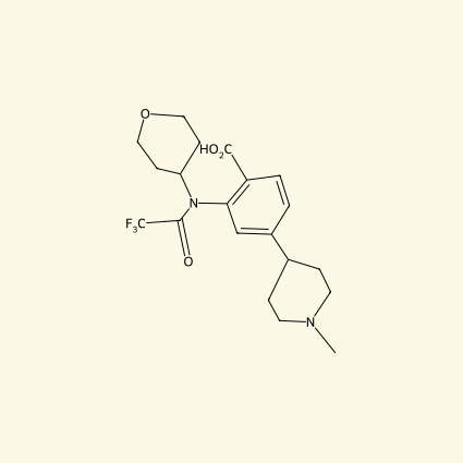 CN1CCC(c2ccc(C(=O)O)c(N(C(=O)C(F)(F)F)C3CCOCC3)c2)CC1